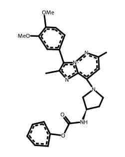 COc1ccc(-c2c(C)nc3c(N4CC[C@@H](NC(=O)Oc5ccccc5)C4)cc(C)nn23)cc1OC